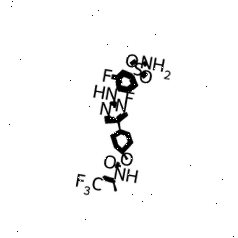 C[C@@H](CC(F)(F)F)NC(=O)O[C@H]1CC[C@@H](c2cnc(Nc3c(F)cc(S(N)(=O)=O)cc3F)nc2)CC1